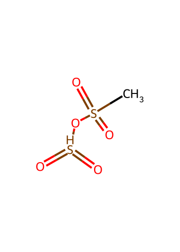 CS(=O)(=O)O[SH](=O)=O